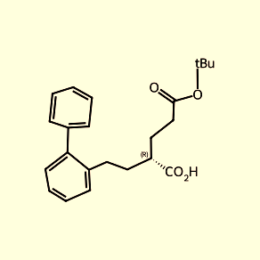 CC(C)(C)OC(=O)CC[C@@H](CCc1ccccc1-c1ccccc1)C(=O)O